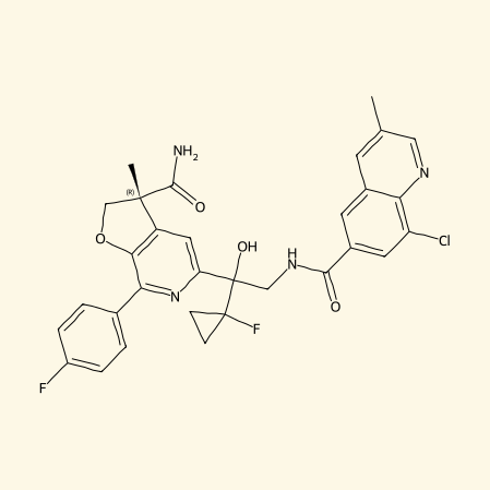 Cc1cnc2c(Cl)cc(C(=O)NCC(O)(c3cc4c(c(-c5ccc(F)cc5)n3)OC[C@]4(C)C(N)=O)C3(F)CC3)cc2c1